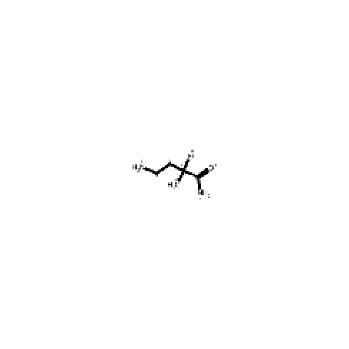 CCC(C)(CCN)C(N)=O